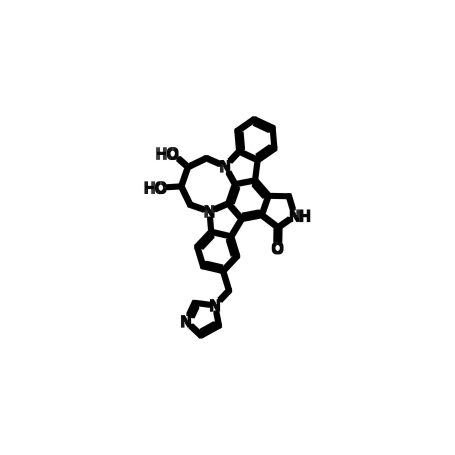 O=C1NCc2c1c1c3cc(Cn4ccnc4)ccc3n3c1c1c2c2ccccc2n1CC(O)C(O)C3